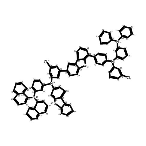 Clc1cccc(N(c2ccc(-c3cccc4c3sc3ccc(-c5cc(Cl)cc(N(c6cccc(N(c7cccc8ccccc78)c7cccc8ccccc78)c6)c6ccc7c(c6)sc6ccccc67)c5)cc34)cc2)c2cccc(N(c3ccccc3)c3ccccc3)c2)c1